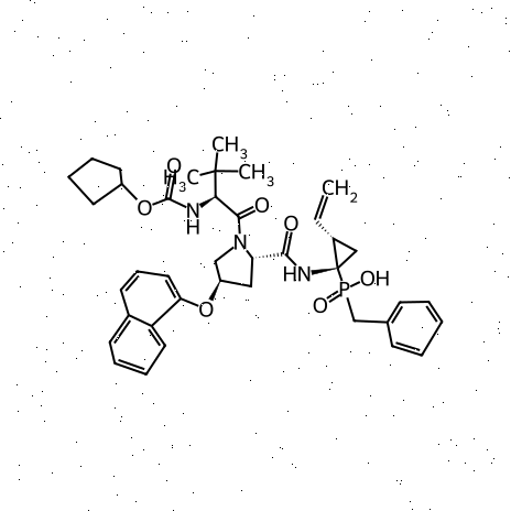 C=C[C@@H]1C[C@]1(NC(=O)[C@@H]1C[C@@H](Oc2cccc3ccccc23)CN1C(=O)[C@@H](NC(=O)OC1CCCC1)C(C)(C)C)P(=O)(O)Cc1ccccc1